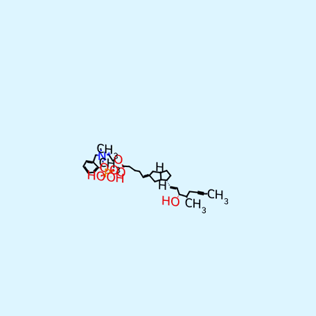 CC#CCC(C)[C@H](O)/C=C/[C@H]1CC[C@@H]2C/C(=C\CCCC(=O)OCC[N+](C)(C)Cc3ccccc3OP(=O)(O)O)C[C@@H]21